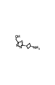 N[C@H]1C[C@@H](c2nnc(CO)s2)C1